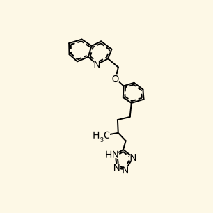 CC(CCc1cccc(OCc2ccc3ccccc3n2)c1)Cc1nnn[nH]1